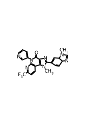 CN1C=NC2C=CC(c3nc4c(=O)n(-c5cccnc5)c5nc(C(F)(F)F)ccc5c4n3C)=CC21